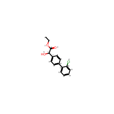 CCOC(=O)C(O)c1ccc(-c2ccccc2Cl)cc1